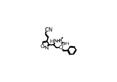 CB(O)NC(COCc1ccccc1)c1nocc1/C=C/C#N